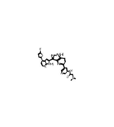 CN(C)CC(=O)Nc1cncc(-c2ccc3[nH]nc(-c4cc5c(-c6ccc(F)s6)ccnc5[nH]4)c3n2)c1